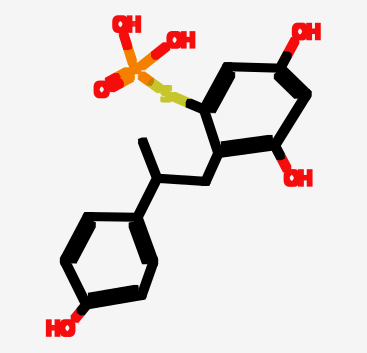 CC(Cc1c(O)cc(O)cc1SP(=O)(O)O)c1ccc(O)cc1